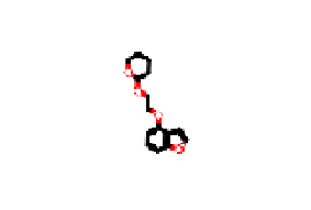 [c]1ccc(OCCOC2CCCCO2)c2ccoc12